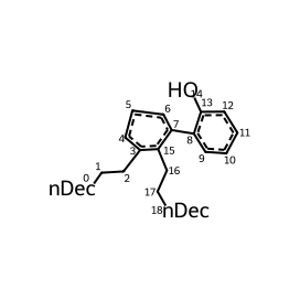 CCCCCCCCCCCCc1cccc(-c2ccccc2O)c1CCCCCCCCCCCC